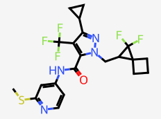 CSc1cc(NC(=O)c2c(C(F)(F)F)c(C3CC3)nn2CC2C(F)(F)C23CCC3)ccn1